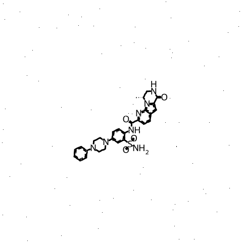 C[C@@H]1CNC(=O)c2cc3ccc(C(=O)Nc4ccc(N5CCN(c6ccccc6)CC5)cc4S(N)(=O)=O)nc3n21